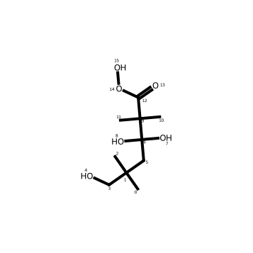 CC(C)(CO)CC(O)(O)C(C)(C)C(=O)OO